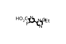 CCOc1cncc(-c2cnc(C(=O)O)c(F)c2)n1